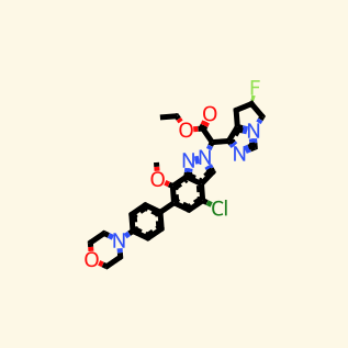 CCOC(=O)C(c1ncn2c1C[C@@H](F)C2)n1cc2c(Cl)cc(-c3ccc(N4CCOCC4)cc3)c(OC)c2n1